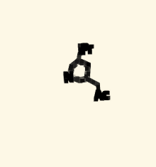 CC(=O)Cc1cncc(C(C)C)c1